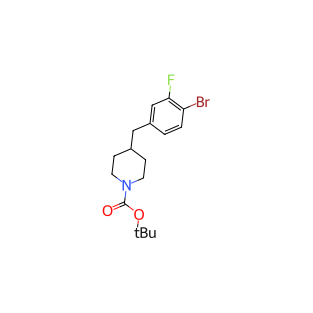 CC(C)(C)OC(=O)N1CCC(Cc2ccc(Br)c(F)c2)CC1